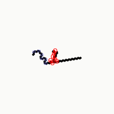 CC/C=C\C/C=C\C/C=C\C/C=C\C/C=C\C/C=C\CCC(=O)OC(COCCCCCCCCCCCCCCCC)COC(=O)CC(CC)OC(C)=O